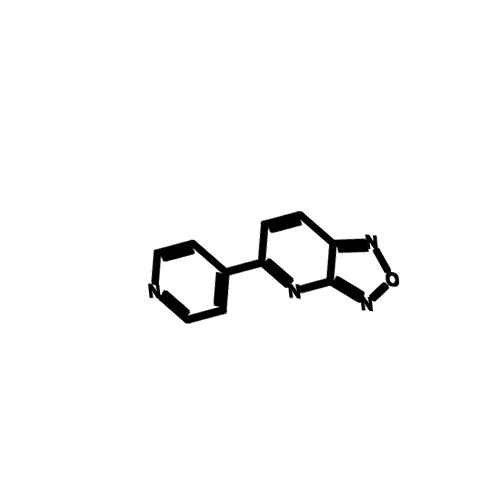 c1cc(-c2ccc3nonc3n2)ccn1